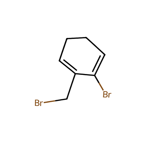 BrCC1=CCCC=C1Br